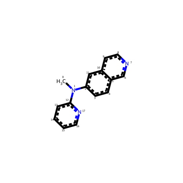 CN(c1ccc2cnccc2c1)c1ccccn1